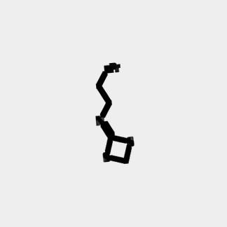 CCCCCN=C1SCS1